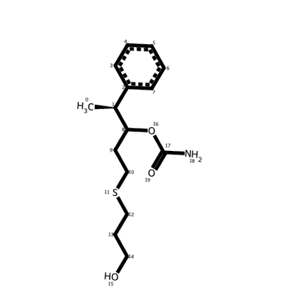 C[C@@H](c1ccccc1)C(CCSCCCO)OC(N)=O